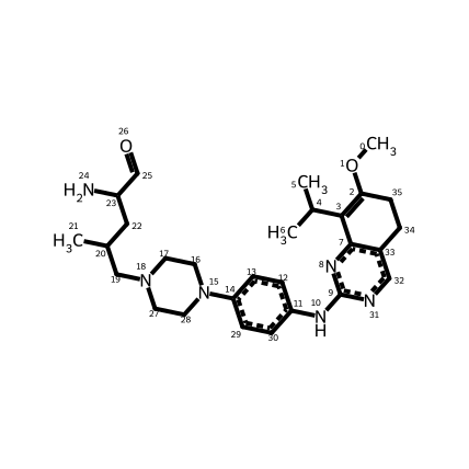 COC1=C(C(C)C)c2nc(Nc3ccc(N4CCN(CC(C)CC(N)C=O)CC4)cc3)ncc2CC1